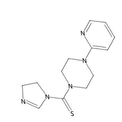 S=C(N1C=NCC1)N1CCN(c2ccccn2)CC1